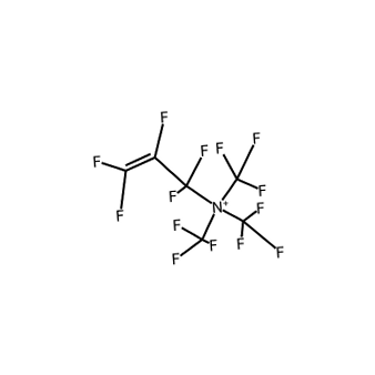 FC(F)=C(F)C(F)(F)[N+](C(F)(F)F)(C(F)(F)F)C(F)(F)F